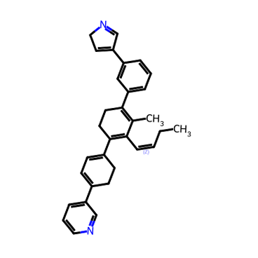 CC/C=C\C1=C(C2=CC=C(c3cccnc3)CC2)CCC(c2cccc(C3=CCN=C3)c2)=C1C